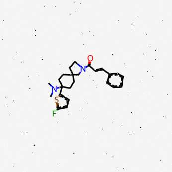 CN(C)C1(c2ccc(F)s2)CCC2(CCN(C(=O)C=Cc3ccccc3)C2)CC1